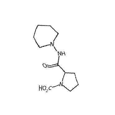 O=C(NN1CCCCC1)C1CCCN1C(=O)O